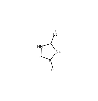 CCC1NCC(C)S1